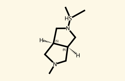 CN1C[C@@H]2CN([SH](C)C)C[C@@H]2C1